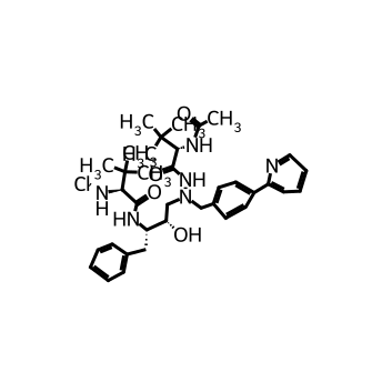 CC(=O)N[C@H](C(=O)NN(Cc1ccc(-c2ccccn2)cc1)C[C@H](O)[C@H](Cc1ccccc1)NC(=O)[C@@H](NCl)C(C)(C)C)C(C)(C)C